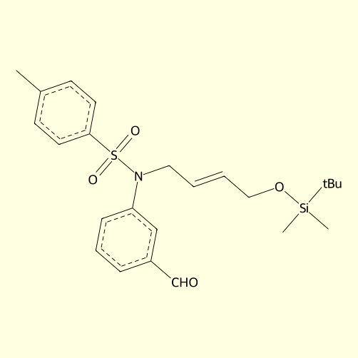 Cc1ccc(S(=O)(=O)N(CC=CCO[Si](C)(C)C(C)(C)C)c2cccc(C=O)c2)cc1